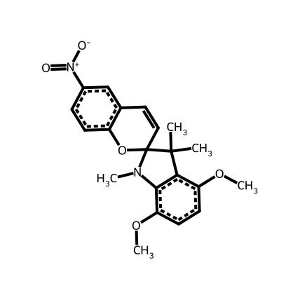 COc1ccc(OC)c2c1N(C)C1(C=Cc3cc([N+](=O)[O-])ccc3O1)C2(C)C